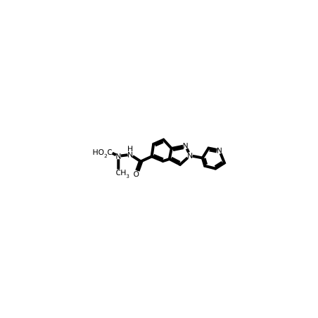 CN(NC(=O)c1ccc2nn(-c3cccnc3)cc2c1)C(=O)O